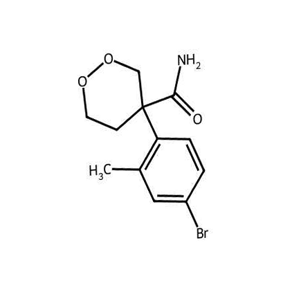 Cc1cc(Br)ccc1C1(C(N)=O)CCOOC1